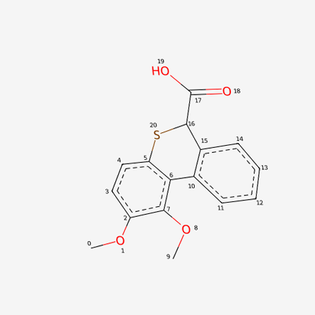 COc1ccc2c(c1OC)-c1ccccc1C(C(=O)O)S2